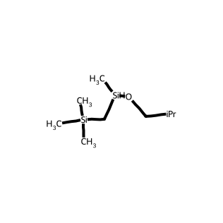 CC(C)CO[SiH](C)C[Si](C)(C)C